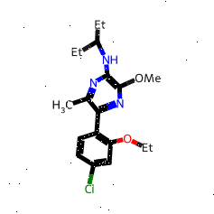 CCOc1cc(Cl)ccc1-c1nc(OC)c(NC(CC)CC)nc1C